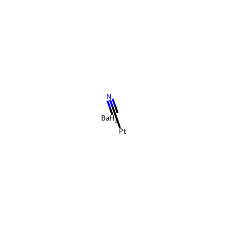 N#[C][Pt].[BaH2]